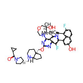 C#Cc1c(F)ccc2cc(O)cc(-c3nc(OC)c4c(N5CCOC[C@@](C)(O)C5)nc(OC[C@]56CCC[C@H]5N(C[C@@H]5CCN(C(=O)C7CC7)C5)CCC6)nc4c3F)c12